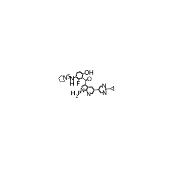 O=C(c1c(O)ccc(NSN2CCCC2)c1F)c1cn(P)c2ncc(-c3cnc(C4CC4)nc3)cc12